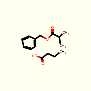 CC(C)C(=O)OCc1ccccc1.CCCC(=O)O